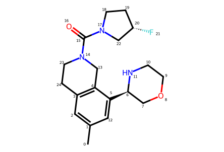 Cc1cc2c(c([C@@H]3COCCN3)c1)CN(C(=O)N1CC[C@H](F)C1)CC2